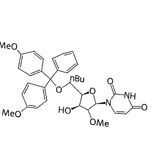 CCCC[C@@H](OC(c1ccccc1)(c1ccc(OC)cc1)c1ccc(OC)cc1)[C@H]1O[C@@H](n2ccc(=O)[nH]c2=O)C(OC)[C@H]1O